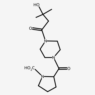 CC(C)(O)CC(=O)N1CCN(C(=O)C2CCCN2C(=O)O)CC1